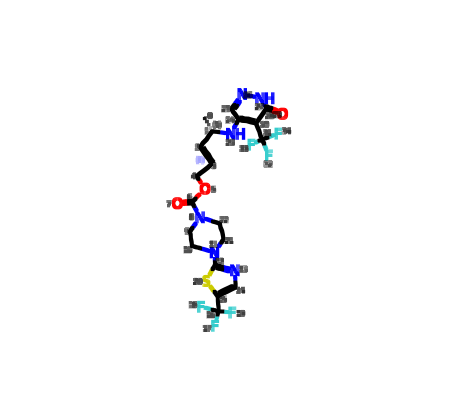 C[C@@H](/C=C/COC(=O)N1CCN(c2ncc(C(F)(F)F)s2)CC1)Nc1cn[nH]c(=O)c1C(F)(F)F